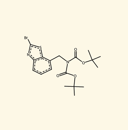 CC(C)(C)OC(=O)N(Cc1cccc2nc(Br)sc12)C(=O)OC(C)(C)C